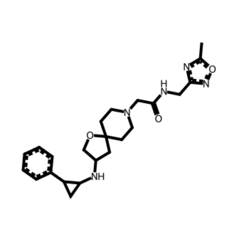 Cc1nc(CNC(=O)CN2CCC3(CC2)CC(NC2CC2c2ccccc2)CO3)no1